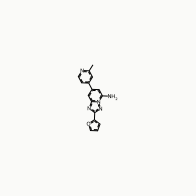 Cc1cc(-c2cc(N)n3nc(-c4ccco4)nc3c2)ccn1